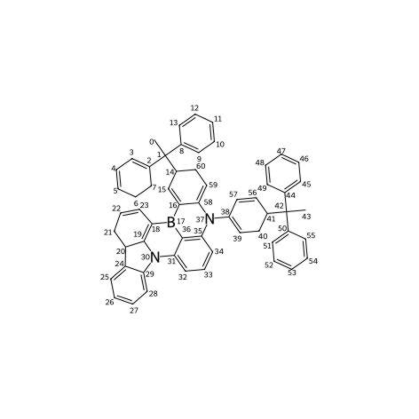 CC(C1=CC=CCC1)(c1ccccc1)C1C=C2B3C4=C5C(CC=C4)c4ccccc4N5c4cccc(c43)N(C3=CCC(C(C)(c4ccccc4)c4ccccc4)C=C3)C2=CC1